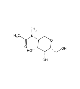 CC(=O)N(C)[C@@H]1CO[C@H](CO)[C@H](O)[C@@H]1O